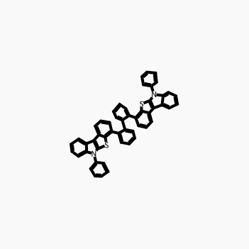 c1ccc(-n2c3ccccc3c3c4cccc(-c5ccccc5-c5ccccc5-c5cccc6c5sc5c6c6ccccc6n5-c5ccccc5)c4sc32)cc1